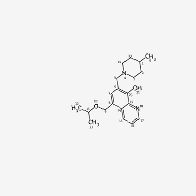 CC1CCN(Cc2cc(COC(C)C)c3cccnc3c2O)CC1